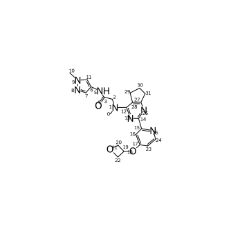 CN(CC(=O)Nc1cnn(C)c1)c1nc(-c2cc(OC3COC3)ccn2)nc2c1CCC2